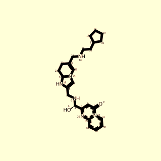 O=c1cc([C@H](O)NCC2=CN3C=C(CNCCC4CCCC4)CCC3N2)nc2ccccn12